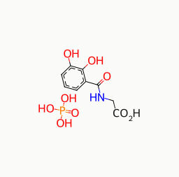 O=C(O)CNC(=O)c1cccc(O)c1O.O=P(O)(O)O